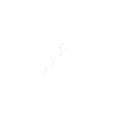 CCOP(=O)(O)C(=O)N=CN(C)C